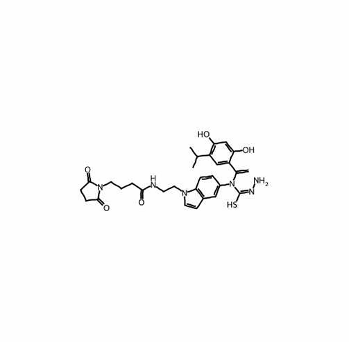 C=C(c1cc(C(C)C)c(O)cc1O)N(/C(S)=N\N)c1ccc2c(ccn2CCNC(=O)CCCN2C(=O)CCC2=O)c1